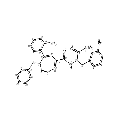 CNC(=O)C(Cc1cccc(Br)c1)NC(=O)C1=NCCC(Cc2ccccc2)C(c2ccccc2C)=C1